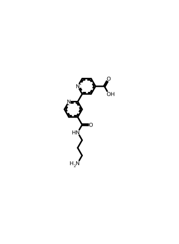 NCCCNC(=O)c1ccnc(-c2cc(C(=O)O)ccn2)c1